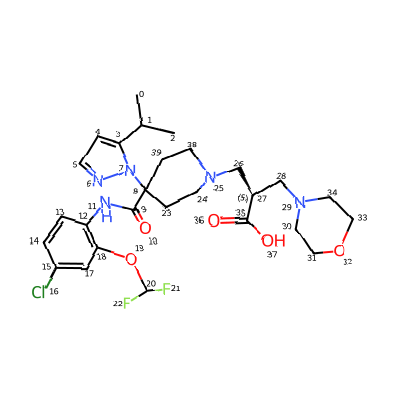 CC(C)c1ccnn1C1(C(=O)Nc2ccc(Cl)cc2OC(F)F)CCN(C[C@@H](CN2CCOCC2)C(=O)O)CC1